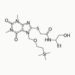 CCC(CO)NC(=O)CSc1nc2c(c(=O)n(C)c(=O)n2C)n1COCC[Si](C)(C)C